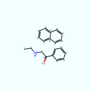 CCNCC(=O)c1ccccc1.c1ccc2ccccc2c1